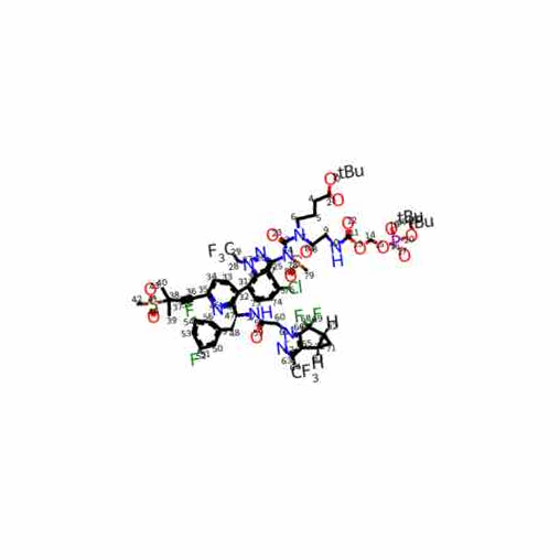 CC(C)(C)OC(=O)CCCN(CCNC(=O)OCOP(=O)(OC(C)(C)C)OC(C)(C)C)C(=O)N(c1nn(CC(F)(F)F)c2c(-c3ccc(C#CC(C)(C)S(C)(=O)=O)nc3[C@H](Cc3cc(F)cc(F)c3)NC(=O)Cn3nc(C(F)(F)F)c4c3C(F)(F)[C@@H]3C[C@H]43)ccc(Cl)c12)S(C)(=O)=O